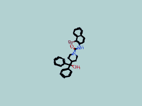 O=C(Nc1ccc2ccccc2c1Br)N1CCC(C(O)(c2ccccc2)c2ccccc2)CC1